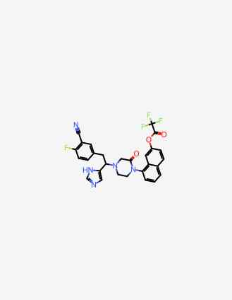 N#Cc1cc(CC(c2cnc[nH]2)N2CCN(c3cccc4ccc(OC(=O)C(F)(F)F)cc34)C(=O)C2)ccc1F